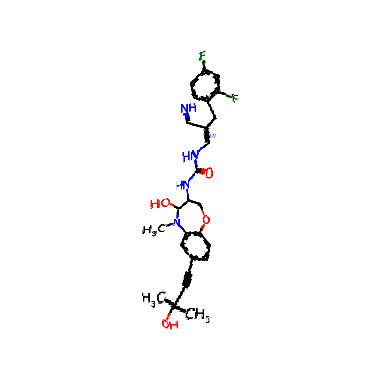 CN1c2cc(C#CC(C)(C)O)ccc2OCC(NC(=O)N/C=C(\C=N)Cc2ccc(F)cc2F)C1O